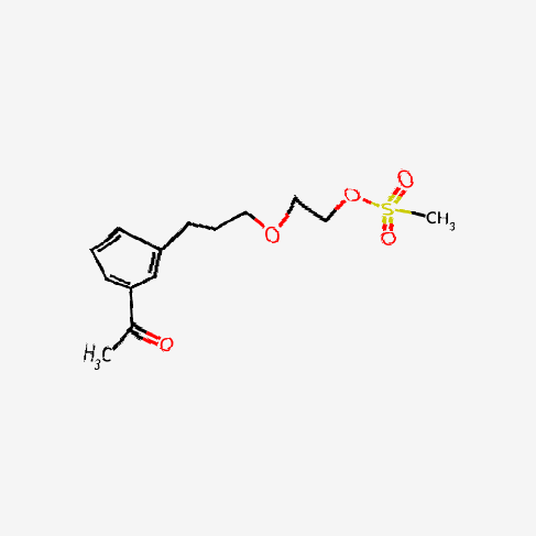 CC(=O)c1cccc(CCCOCCOS(C)(=O)=O)c1